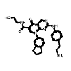 NCCc1ccc(Nc2ncc3c(=O)c(C(=O)NCCO)cn(-c4ccc5c(c4)CCC5)c3n2)cc1